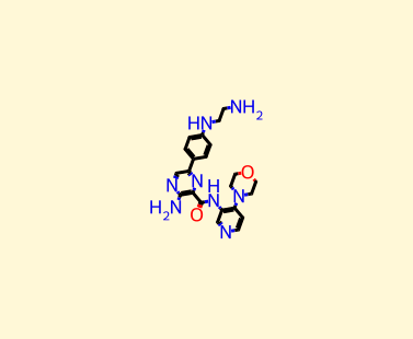 NCCNc1ccc(-c2cnc(N)c(C(=O)Nc3cnccc3N3CCOCC3)n2)cc1